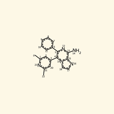 Cc1cc(-c2c(-c3ccccc3)nc(N)c3nccn23)cc(C)n1